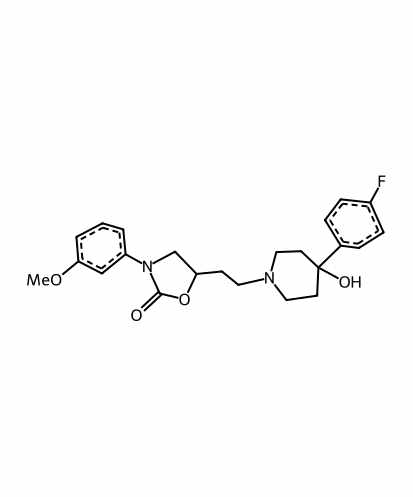 COc1cccc(N2CC(CCN3CCC(O)(c4ccc(F)cc4)CC3)OC2=O)c1